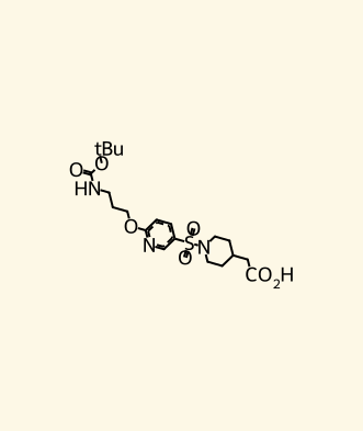 CC(C)(C)OC(=O)NCCCOc1ccc(S(=O)(=O)N2CCC(CC(=O)O)CC2)cn1